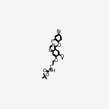 COc1cc2c(Oc3ccc(Br)cc3F)ncnc2cc1OCCCNC(=O)OC(C)(C)C